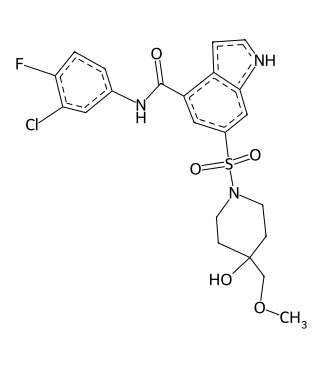 COCC1(O)CCN(S(=O)(=O)c2cc(C(=O)Nc3ccc(F)c(Cl)c3)c3cc[nH]c3c2)CC1